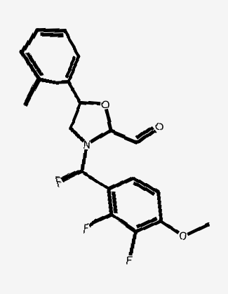 COc1ccc(C(F)N2CC(c3ccccc3C)OC2C=O)c(F)c1F